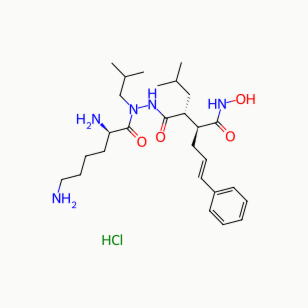 CC(C)C[C@@H](C(=O)NN(CC(C)C)C(=O)[C@H](N)CCCCN)[C@H](CC=Cc1ccccc1)C(=O)NO.Cl